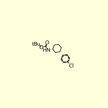 CC(C)(C)OC(=O)N[C@@H]1CCC[C@H](c2ccc(Cl)cc2)C1